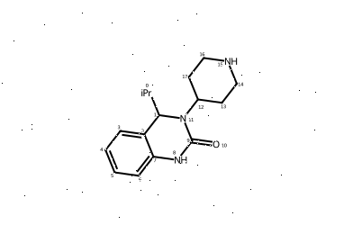 CC(C)C1c2ccccc2NC(=O)N1C1CCNCC1